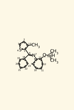 Cc1ccsc1C(=Nc1ccccc1O[SiH](C)C)c1ccccc1